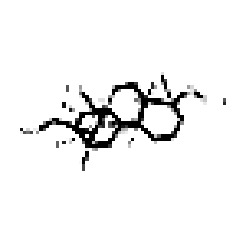 CSC[C@@H]1[C@H]2CC[C@@]3(CC[C@H]4[C@@](C)(CCC[C@@]4(C)OC=O)[C@@H]3C2)[C@@H]1O